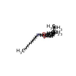 CCCCCCCCCCCCCCCCCC/C=C\CCCC(=O)O[C@H]1CC[C@@]2(C)C(=CC[C@H]3[C@@H]4CC[C@H]([C@H](C)CCCC(C)C)[C@@]4(C)CC[C@@H]32)C1